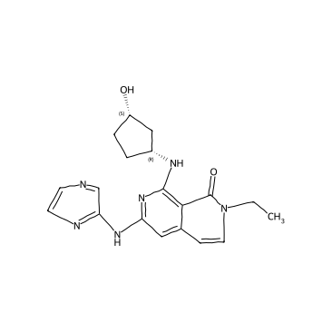 CCn1ccc2cc(Nc3cnccn3)nc(N[C@@H]3CC[C@H](O)C3)c2c1=O